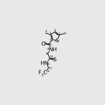 Cc1cc(C)c(C(=O)NCC(=S)NCC(F)(F)F)s1